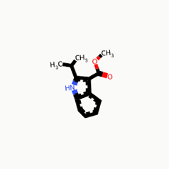 COC(=O)c1c(C(C)C)[nH]c2ccccc12